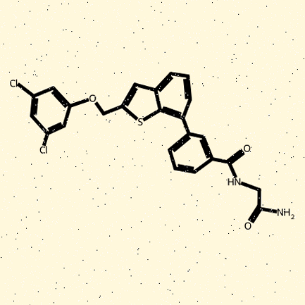 NC(=O)CNC(=O)c1cccc(-c2cccc3cc(COc4cc(Cl)cc(Cl)c4)sc23)c1